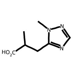 CC(Cc1ncnn1C)C(=O)O